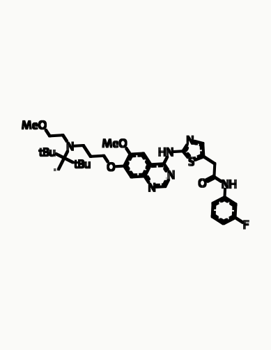 [CH2]C(N(CCCOc1cc2ncnc(Nc3ncc(CC(=O)Nc4cccc(F)c4)s3)c2cc1OC)CCOC)(C(C)(C)C)C(C)(C)C